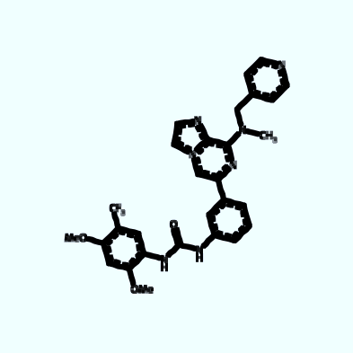 COc1cc(OC)c(C(F)(F)F)cc1NC(=O)Nc1cccc(-c2cn3ccnc3c(N(C)Cc3ccncc3)n2)c1